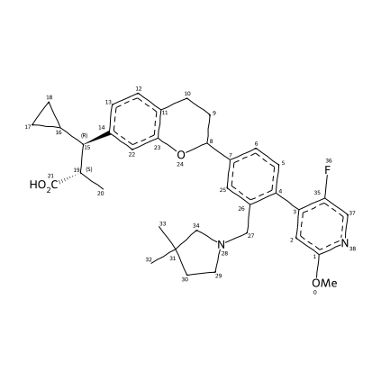 COc1cc(-c2ccc(C3CCc4ccc([C@H](C5CC5)[C@H](C)C(=O)O)cc4O3)cc2CN2CCC(C)(C)C2)c(F)cn1